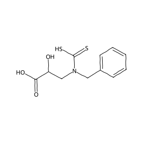 O=C(O)C(O)CN(Cc1ccccc1)C(=S)S